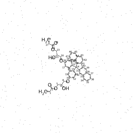 C=CC(=O)OCC(O)COc1ccc(C2(c3ccc(OCC(O)COC(=O)C=C)cc3)c3cc4ccccc4cc3-c3ccc4ccccc4c32)cc1